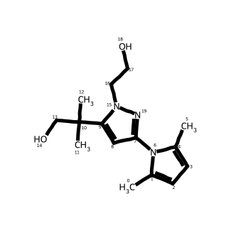 Cc1ccc(C)n1-c1cc(C(C)(C)CO)n(CCO)n1